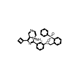 N[N+]12C=CN=CC1=C(C1=CC=C1)N=C2c1cccc(OCc2ccccc2S(=O)(=O)c2ccccc2)c1